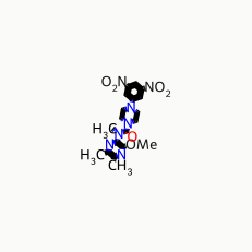 COc1nc(C)c(C)nc1N(C)C(=O)N1CCN(c2cc([N+](=O)[O-])cc([N+](=O)[O-])c2)CC1